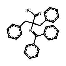 O=C(O)C(Cc1ccccc1)(Cc1ccccc1)N=C(c1ccccc1)c1ccccc1